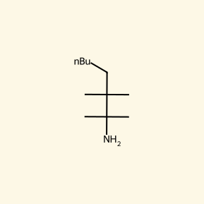 CCCCCC(C)(C)C(C)(C)N